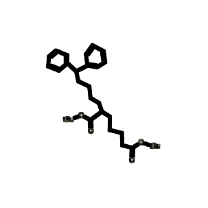 CC(C)(C)OC(=O)CCCCC(CCCCC(c1ccccc1)c1ccccc1)C(=O)OC(C)(C)C